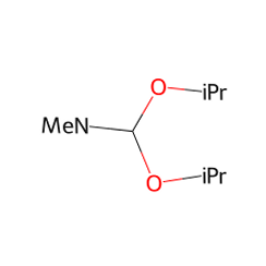 CNC(OC(C)C)OC(C)C